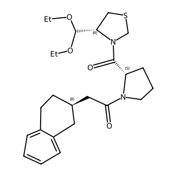 CCOC(OCC)[C@@H]1CSCN1C(=O)[C@@H]1CCCN1C(=O)C[C@@H]1CCc2ccccc2C1